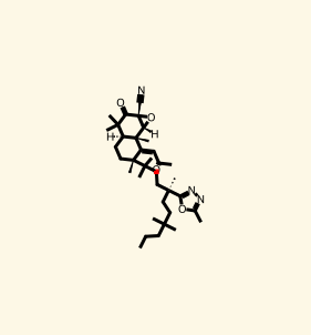 CCCC(C)(C)CC[C@@](C)(CCC(C)(C)[C@]1(C)CC[C@H]2C(C)(C)C(=O)[C@]3(C#N)O[C@@H]3[C@]2(C)/C1=C/C(C)=O)c1nnc(C)o1